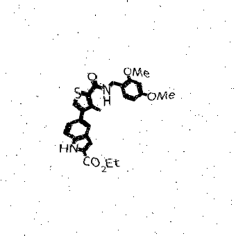 CCOC(=O)c1cc2cc(-c3csc(C(=O)NCc4ccc(OC)cc4OC)c3C)ccc2[nH]1